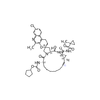 Cc1nc2cc(Cl)ccc2c2c1O[C@]1(CC2)C[C@H]2C(=O)N[C@]3(C(=O)NS(=O)(=O)C4(C)CC4)C[C@H]3/C=C\CCCCC[C@H](NC(=O)OC3CCCC3)C(=O)N2C1